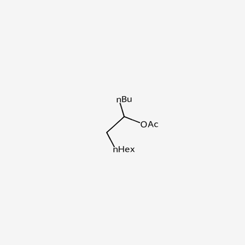 CCCCCCCC(CCCC)OC(C)=O